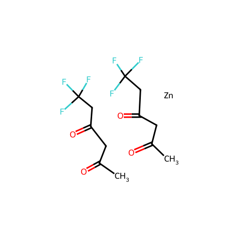 CC(=O)CC(=O)CC(F)(F)F.CC(=O)CC(=O)CC(F)(F)F.[Zn]